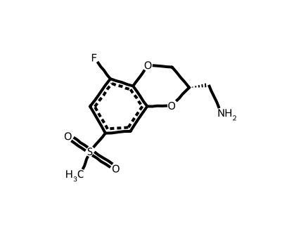 CS(=O)(=O)c1cc(F)c2c(c1)O[C@@H](CN)CO2